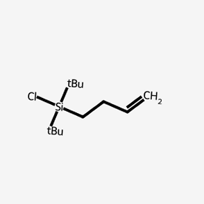 C=CCC[Si](Cl)(C(C)(C)C)C(C)(C)C